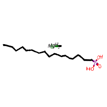 CBr.CCCCCCCCCCCCCCCCP(=O)(O)O.[MgH2]